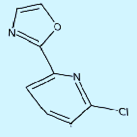 Clc1[c]ccc(-c2ncco2)n1